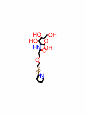 O=C(CCOCCSSc1ccccn1)NC1C(O)OC(CO)C(O)C1O